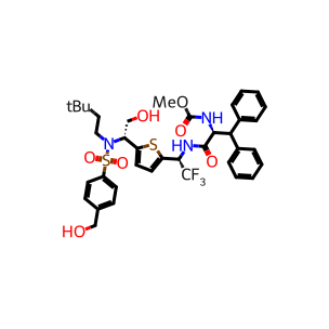 COC(=O)N[C@H](C(=O)N[C@H](c1ccc([C@@H](CO)N(CCC(C)(C)C)S(=O)(=O)c2ccc(CO)cc2)s1)C(F)(F)F)C(c1ccccc1)c1ccccc1